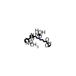 COc1ncccc1-c1cnc(C(C/C=C/CCC(=O)c2ncco2)NC(=O)O)o1